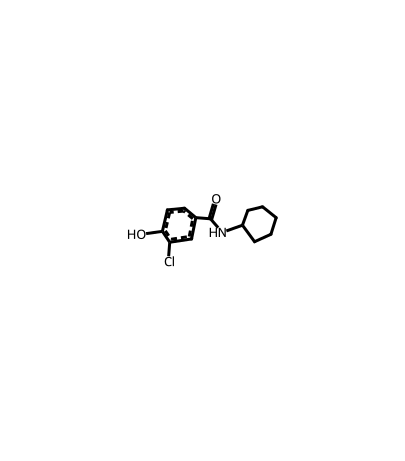 O=C(NC1CCCCC1)c1ccc(O)c(Cl)c1